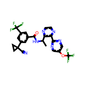 CC(NC(=O)c1cc(C(F)(F)F)cc(C2(C#N)CC2)c1)c1nccnc1-c1ncc(OC(F)(F)F)cn1